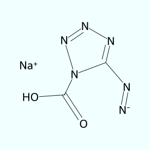 [N-]=Nc1nnnn1C(=O)O.[Na+]